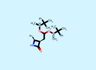 CC(=O)[C@@H]1NC(=O)[C@@H]1CC(O[SiH](C)C(C)(C)C(C)C)O[SiH](C)C(C)(C)C(C)C